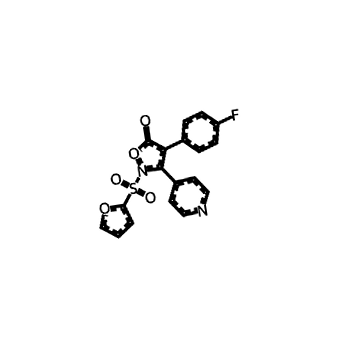 O=c1on(S(=O)(=O)c2ccco2)c(-c2ccncc2)c1-c1ccc(F)cc1